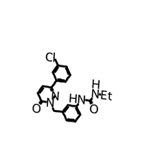 CCNC(=O)Nc1cccc(Cn2nc(-c3cccc(Cl)c3)ccc2=O)c1